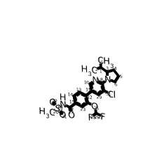 CC(C)C1CCCN1c1ncc(-c2ccc(C(=O)NS(C)(=O)=O)cc2OC(F)F)cc1Cl